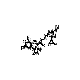 C=C(CCCn1nc(C#N)nc1C1CC1)C(=O)N1N=CCC1c1cc(F)cc(F)c1